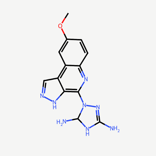 COc1ccc2nc(N3N=C(N)NC3N)c3[nH]ncc3c2c1